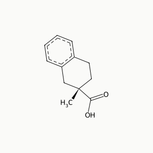 C[C@]1(C(=O)O)CCc2ccccc2C1